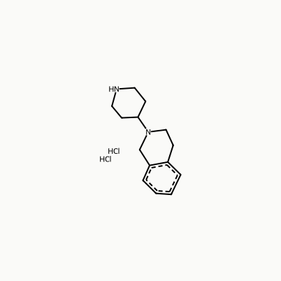 Cl.Cl.c1ccc2c(c1)CCN(C1CCNCC1)C2